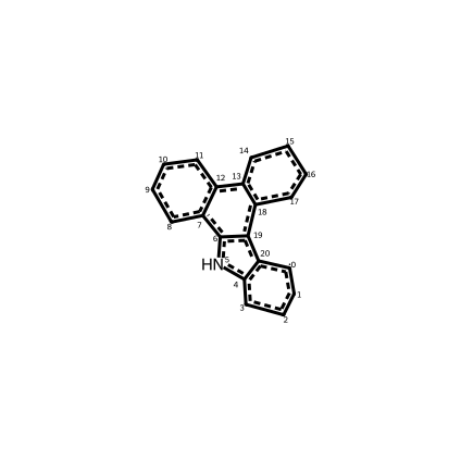 [c]1cccc2[nH]c3c4ccccc4c4ccccc4c3c12